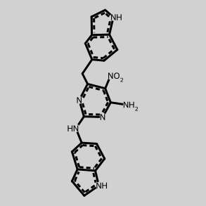 Nc1nc(Nc2ccc3[nH]ccc3c2)nc(Cc2ccc3[nH]ccc3c2)c1[N+](=O)[O-]